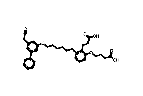 N#CCc1cc(OCCCCCCc2cccc(OCCCC(=O)O)c2CCC(=O)O)cc(-c2ccccc2)c1